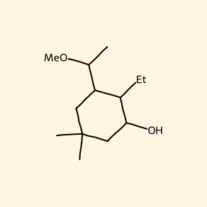 CCC1C(O)CC(C)(C)CC1C(C)OC